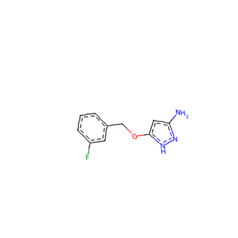 Nc1cc(OCc2cccc(F)c2)[nH]n1